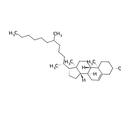 CCCCCCC(C)CCC[C@@H](C)[C@H]1CC[C@H]2[C@@H]3CC=C4C[C@@H](O)CC[C@]4(C)[C@H]3CC[C@]12C